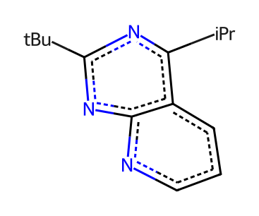 CC(C)c1nc(C(C)(C)C)nc2ncccc12